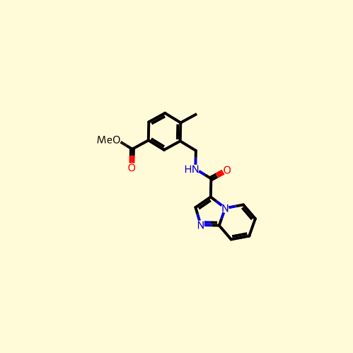 COC(=O)c1ccc(C)c(CNC(=O)c2cnc3ccccn23)c1